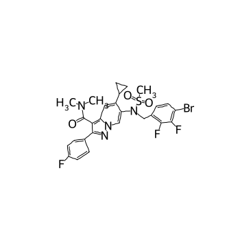 CN(C)C(=O)c1c(-c2ccc(F)cc2)nn2cc(N(Cc3ccc(Br)c(F)c3F)S(C)(=O)=O)c(C3CC3)cc12